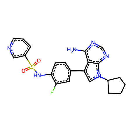 Nc1ncnc2c1c(-c1ccc(NS(=O)(=O)c3cccnc3)c(F)c1)cn2C1CCCC1